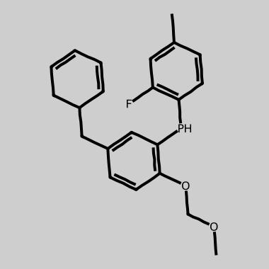 COCOc1ccc(CC2C=CC=CC2)cc1Pc1ccc(C)cc1F